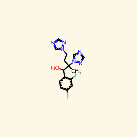 CC(CCn1cncn1)(C(O)c1ccc(F)cc1F)n1cncn1